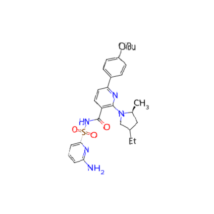 CCC1C[C@H](C)N(c2nc(-c3ccc(OCC(C)C)cc3)ccc2C(=O)NS(=O)(=O)c2cccc(N)n2)C1